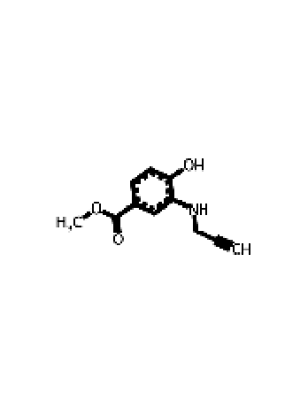 C#CCNc1cc(C(=O)OC)ccc1O